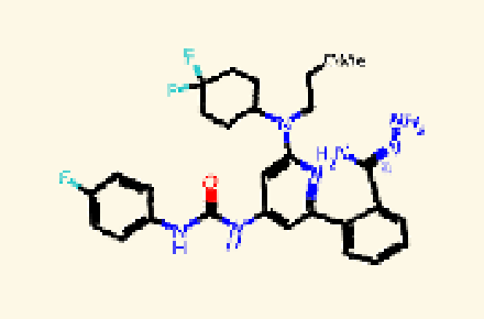 COCCN(c1cc(NC(=O)Nc2ccc(F)cc2)cc(-c2ccccc2/C(N)=N/N)n1)C1CCC(F)(F)CC1